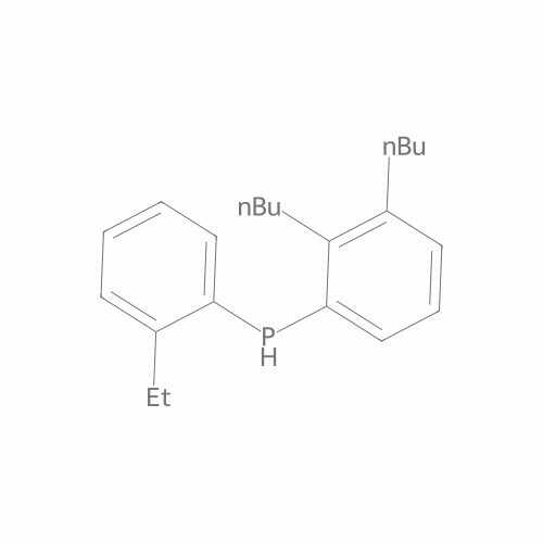 CCCCc1cccc(Pc2ccccc2CC)c1CCCC